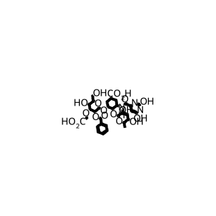 CC1OC(OC2C(NC(=O)c3cc(O)nc(O)n3)CC(C(=O)O)CC2OC2OC(CO)C(O)C(OCC(=O)O)C2OC(=O)c2ccccc2)C(O)=CC1O